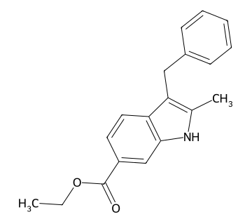 CCOC(=O)c1ccc2c(Cc3ccccc3)c(C)[nH]c2c1